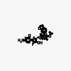 CC(C)OC(=O)C(C)NP(=O)(OC[C@H]1S[C@@H](n2ccc(N)nc2=O)[C@@H](F)[C@@H]1O)Oc1ccc2c(c1)OCC2